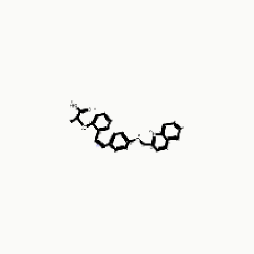 CC(Oc1ccccc1/C=C\c1ccc(OCc2ccc3ccccc3n2)cc1)C(=O)O